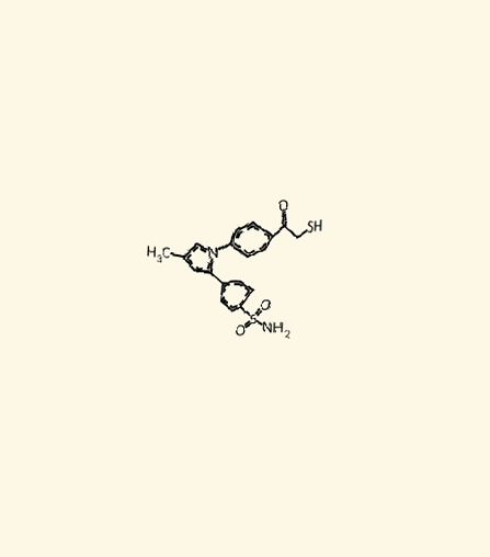 Cc1cc(-c2ccc(S(N)(=O)=O)cc2)n(-c2ccc(C(=O)CS)cc2)c1